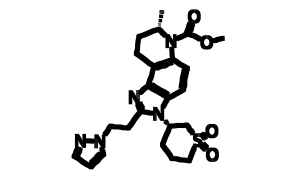 COC(=O)N1c2ccc3c(nc(CCn4cccn4)n3[C@H]3CCCS(=O)(=O)C3)c2CC[C@@H]1C